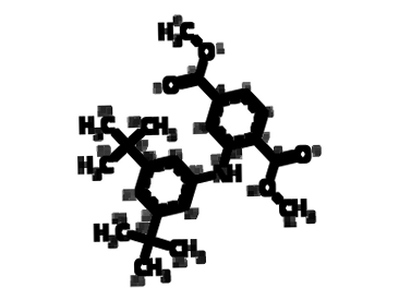 COC(=O)c1ccc(C(=O)OC)c(Nc2cc(C(C)(C)C)cc(C(C)(C)C)c2)c1